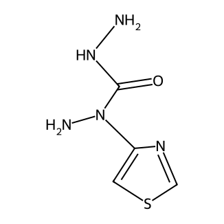 NNC(=O)N(N)c1cscn1